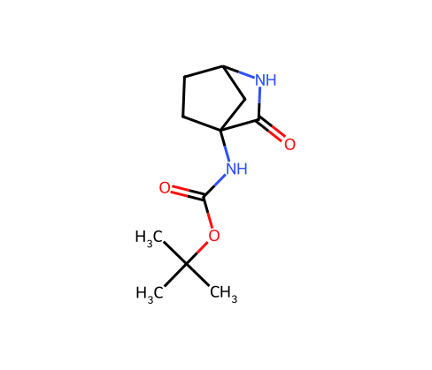 CC(C)(C)OC(=O)NC12CCC(C1)NC2=O